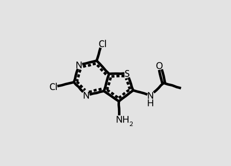 CC(=O)Nc1sc2c(Cl)nc(Cl)nc2c1N